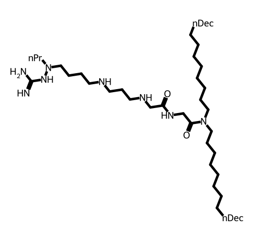 CCCCCCCCCCCCCCCCCCN(CCCCCCCCCCCCCCCCCC)C(=O)CNC(=O)CNCCCNCCCCN(CCC)NC(=N)N